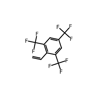 C=Cc1c(C(F)(F)F)cc(C(F)(F)F)cc1C(F)(F)F